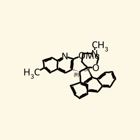 COc1nc2ccc(C)cc2cc1[C@@H](c1ccccc1)[C@]1(c2cccc3ccccc23)CCN(C)CO1